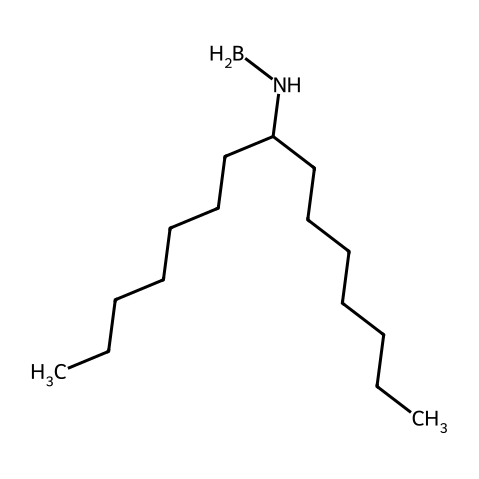 BNC(CCCCCCC)CCCCCCC